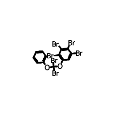 Brc1cc(OC(Br)(Br)Oc2ccccc2)c(Br)c(Br)c1Br